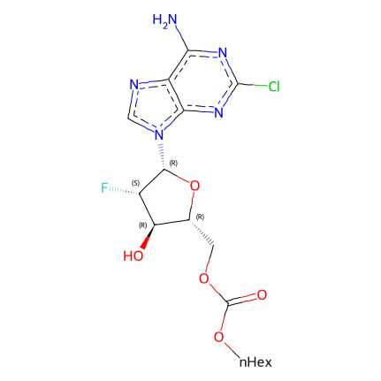 CCCCCCOC(=O)OC[C@H]1O[C@@H](n2cnc3c(N)nc(Cl)nc32)[C@@H](F)[C@@H]1O